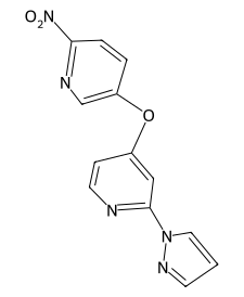 O=[N+]([O-])c1ccc(Oc2ccnc(-n3cccn3)c2)cn1